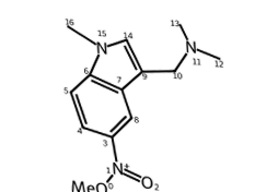 CO[N+](=O)c1ccc2c(c1)c(CN(C)C)cn2C